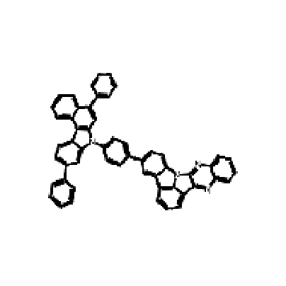 c1ccc(-c2ccc3c4c5ccccc5c(-c5ccccc5)cc4n(-c4ccc(-c5ccc6c(c5)c5cccc7c8nc9ccccc9nc8n6c57)cc4)c3c2)cc1